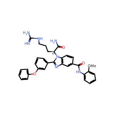 COc1ccccc1NC(=O)c1ccc2c(c1)nc(-c1cccc(Oc3ccccc3)c1)n2[C@@H](CCCNC(=N)N)C(N)=O